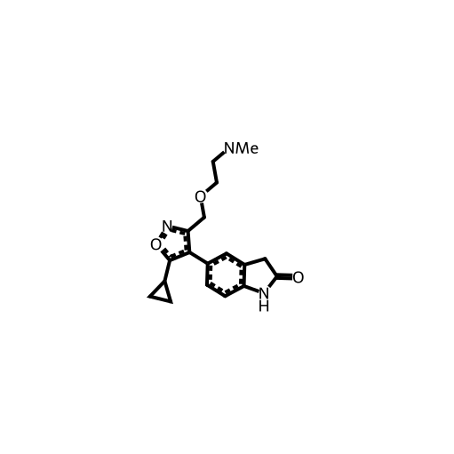 CNCCOCc1noc(C2CC2)c1-c1ccc2c(c1)CC(=O)N2